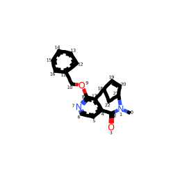 CN1C(=O)c2ccnc(OCc3ccccc3)c2C2C=CC1C2